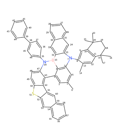 Cc1cc2c3c(c1)N(c1cc4c(cc1C)C(C)(C)CCC4(C)C)c1cc4ccccc4cc1B3N(c1ccc(-c3ccccc3)cc1)c1ccc3sc4cc5ccccc5cc4c3c1-2